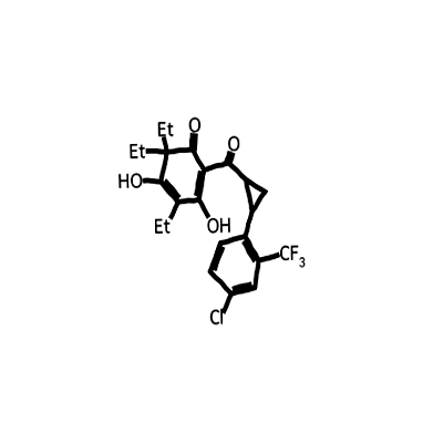 CCC1=C(O)C(CC)(CC)C(=O)C(C(=O)C2CC2c2ccc(Cl)cc2C(F)(F)F)=C1O